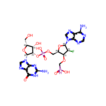 Nc1nc2c(ncn2[C@@H]2O[C@H](CO)[C@H](O)[C@@H]2OP(=O)(O)OC[C@H]2O[C@@H](n3cnc4c(N)ncnc43)[C@@H](F)[C@H]2OC[PH](=O)O)c(=O)[nH]1